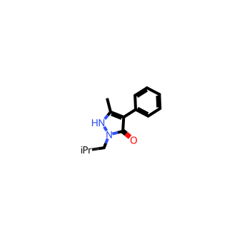 Cc1[nH]n(CC(C)C)c(=O)c1-c1ccccc1